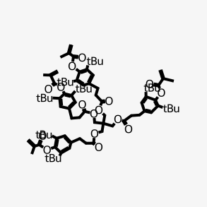 C=C(C)C(=O)Oc1c(C(C)(C)C)cc(CCC(=O)OCC(COC(=O)CCc2cc(C(C)(C)C)c(OC(=O)C(=C)C)c(C(C)(C)C)c2)(COC(=O)CCc2cc(C(C)(C)C)c(OC(=O)C(=C)C)c(C(C)(C)C)c2)COC(=O)CCc2cc(C(C)(C)C)c(OC(=O)C(=C)C)c(C(C)(C)C)c2)cc1C(C)(C)C